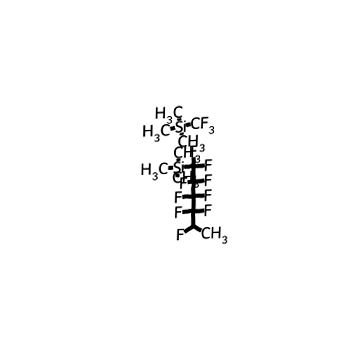 CC(F)C(F)(F)C(F)(F)C(F)(F)C(F)(F)[Si](C)(C)C.C[Si](C)(C)C(F)(F)F